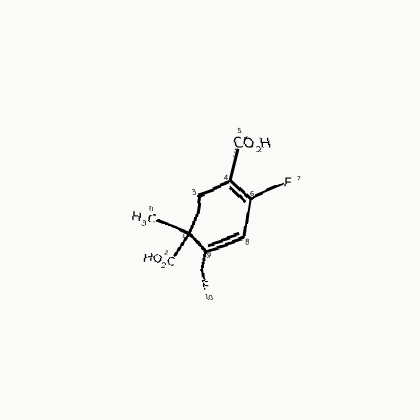 CC1(C(=O)O)CC(C(=O)O)=C(F)C=C1F